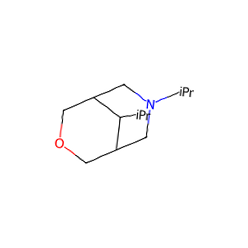 CC(C)C1C2COCC1CN(C(C)C)C2